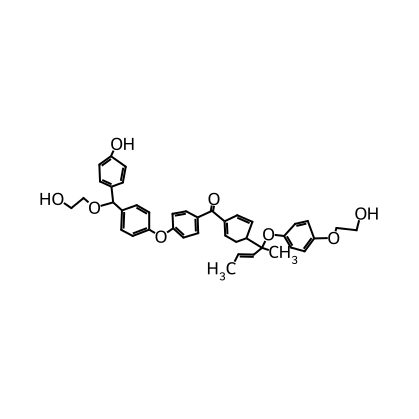 CC=CC(C)(Oc1ccc(OCCO)cc1)C1C=CC(C(=O)c2ccc(Oc3ccc(C(OCCO)c4ccc(O)cc4)cc3)cc2)=CC1